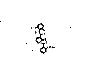 COc1ccccc1-c1nnc2c(C(=O)Nc3c(C)cccc3O)cccn12